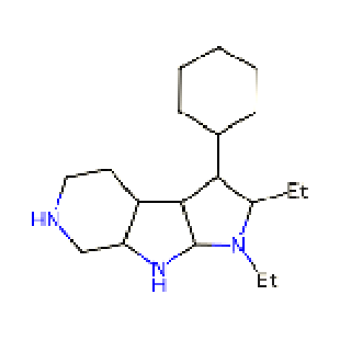 CCC1C(C2CCCCC2)C2C3CCNCC3NC2N1CC